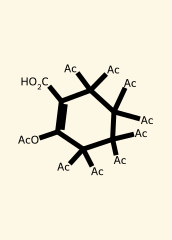 CC(=O)OC1=C(C(=O)O)C(C(C)=O)(C(C)=O)C(C(C)=O)(C(C)=O)C(C(C)=O)(C(C)=O)C1(C(C)=O)C(C)=O